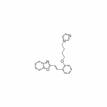 C(=C\c1ccccc1OCCCCn1ccnc1)/c1nc2ccccc2o1